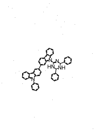 c1ccc(C2N=C(n3c4ccccc4c4ccc(-c5ccc6c(c5)c5ccccc5n6-c5ccccc5)cc43)NC(c3ccccc3)N2)cc1